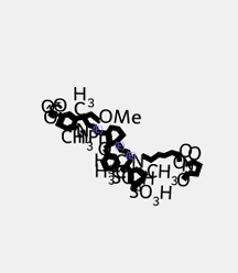 CCC[N+]1=C(/C=C/C2=C(Oc3ccc(S(=O)(=O)O)cc3)C(=C/C=C3/N(CCCCCC(=O)ON4C(=O)CCC4=O)c4c(C)cc(S(=O)(=O)O)cc4C3(C)C)/CCC2)C(C)(CCOC)c2cc(S(=O)(=O)[O-])cc(C)c21